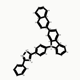 c1ccc(-c2nsc(-c3ccc(-n4c5ccccc5c5ccc(-c6ccc7ccccc7c6)cc54)cc3)n2)cc1